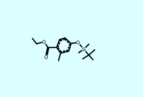 CCOC(=O)c1ccc(O[Si](C)(C)C(C)(C)C)cc1C